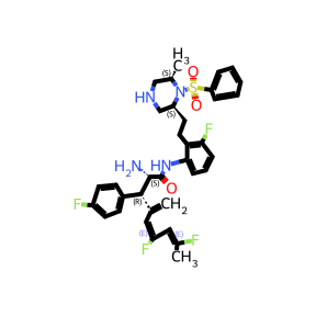 C=C(/C=C(F)\C=C(/C)F)[C@H](c1ccc(F)cc1)[C@H](N)C(=O)Nc1cccc(F)c1CC[C@H]1CNC[C@H](C)N1S(=O)(=O)c1ccccc1